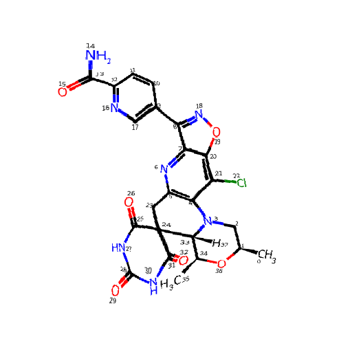 C[C@@H]1CN2c3c(nc4c(-c5ccc(C(N)=O)nc5)noc4c3Cl)CC3(C(=O)NC(=O)NC3=O)[C@H]2[C@H](C)O1